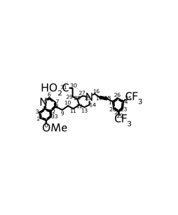 COc1ccc2nccc(CCCC3CCN(CC#Cc4cc(C(F)(F)F)cc(C(F)(F)F)c4)CC3CCC(=O)O)c2c1